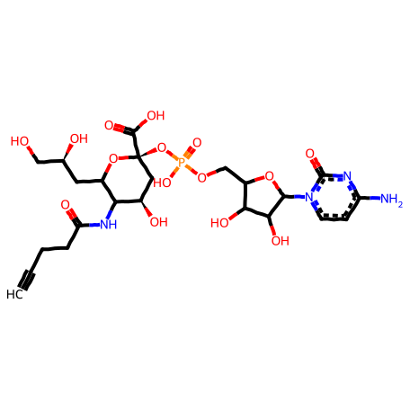 C#CCCC(=O)NC1C(C[C@H](O)CO)O[C@](OP(=O)(O)OCC2OC(n3ccc(N)nc3=O)C(O)C2O)(C(=O)O)C[C@H]1O